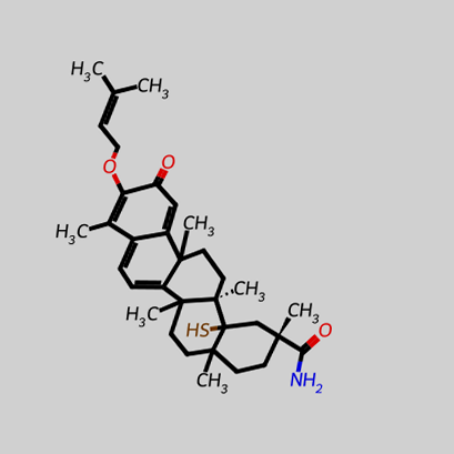 CC(C)=CCOC1=C(C)C2=CC=C3C(C)(CC[C@]4(C)C3(C)CCC3(C)CC[C@@](C)(C(N)=O)CC34S)C2=CC1=O